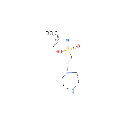 CCOC(=O)[C@H](C)NP(=O)(O)CCN1CCNCC1